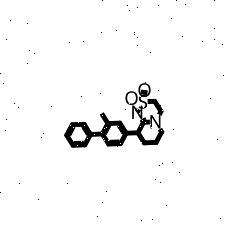 Cc1cc(C2CCCN3CCS(=O)(=O)N=C23)ccc1-c1ccccc1